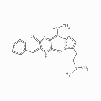 CNC(c1ccc(CCN(C)C)s1)=c1[nH]c(=O)c(=Cc2ccccc2)[nH]c1=O